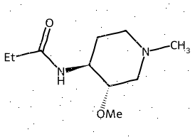 CCC(=O)N[C@H]1CCN(C)C[C@@H]1OC